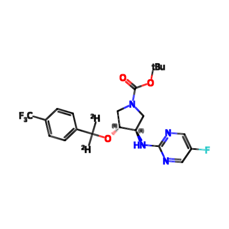 [2H]C([2H])(O[C@@H]1CN(C(=O)OC(C)(C)C)C[C@H]1Nc1ncc(F)cn1)c1ccc(C(F)(F)F)cc1